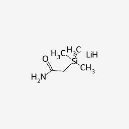 C[Si](C)(C)CC(N)=O.[LiH]